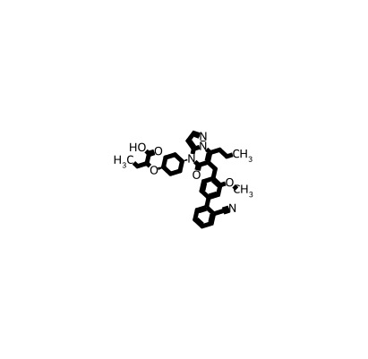 CCCc1c(Cc2ccc(-c3ccccc3C#N)cc2OC)c(=O)n([C@H]2CC[C@H](OC(CC)C(=O)O)CC2)c2ccnn12